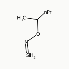 CCCC(C)ON=[SiH2]